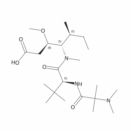 CC[C@H](C)[C@@H]([C@@H](CC(=O)O)OC)N(C)C(=O)[C@@H](NC(=O)C(C)(C)N(C)C)C(C)(C)C